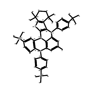 Cc1cc2c3c(c1)N(c1ccc(C(C)(C)C)cc1)c1c(sc4c1C(C)(C)CCC4(C)C)B3c1cc([Si](C)(C)C)ccc1N2c1ccc([Si](C)(C)C)cc1